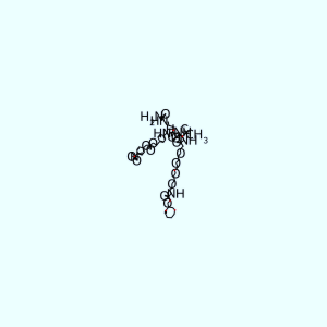 CC(C)C(NC(=O)CCOCCOCCOCCOCCNC(=O)COC1C#CCCCCC1)C(=O)NC(CCCNC(N)=O)C(=O)Nc1ccc(COC(=O)Oc2ccc([N+](=O)[O-])cc2)cc1